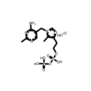 Cc1ncc(C[n+]2csc(CCOP(=O)(O)OP(=O)(O)O)c2C)c(N)n1.Cl.[Cl-]